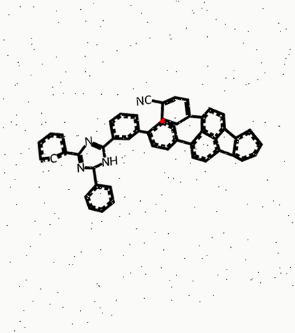 N#CC1=CC=C(c2ccc3c4c(ccc(-c5ccc(-c6cccc(C7=NC(c8ccccc8)=NC(c8ccccc8)N7)c6)cc5)c24)-c2ccccc2-3)CC1